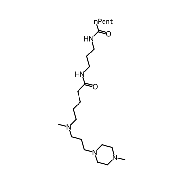 CCCCCC(=O)NCCCNC(=O)CCCCN(C)CCCN1CCN(C)CC1